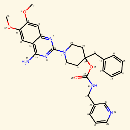 COc1cc2nc(N3CCC(Cc4ccccc4)(OC(=O)NCc4cccnc4)CC3)nc(N)c2cc1OC